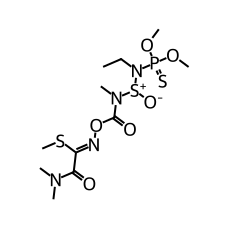 CCN([S+]([O-])N(C)C(=O)ON=C(SC)C(=O)N(C)C)P(=S)(OC)OC